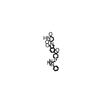 O=C1CCC(N2Cc3c(ccc4c3OCC43CCN(Cc4nncn4-c4ccccc4)CC3)C2=O)C(=O)N1